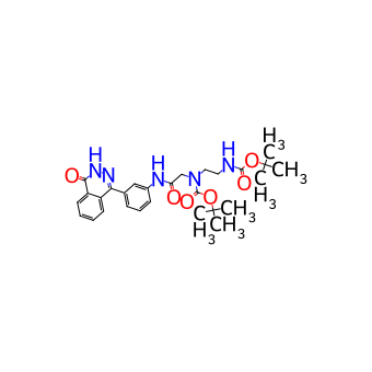 CC(C)(C)OC(=O)NCCN(CC(=O)Nc1cccc(-c2n[nH]c(=O)c3ccccc23)c1)C(=O)OC(C)(C)C